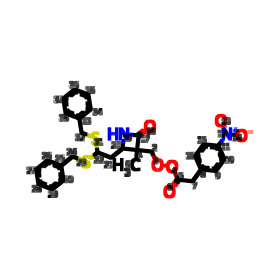 CC1(COOC(=O)Cc2ccc([N+](=O)[O-])cc2)C(=O)NC1CC(SCc1ccccc1)SCc1ccccc1